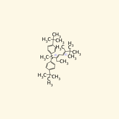 CC/C(=C\C=C(/C)C(C)(C)C)S(C)(c1ccc(C(C)(C)C)cc1)c1ccc(C(C)(C)C)cc1